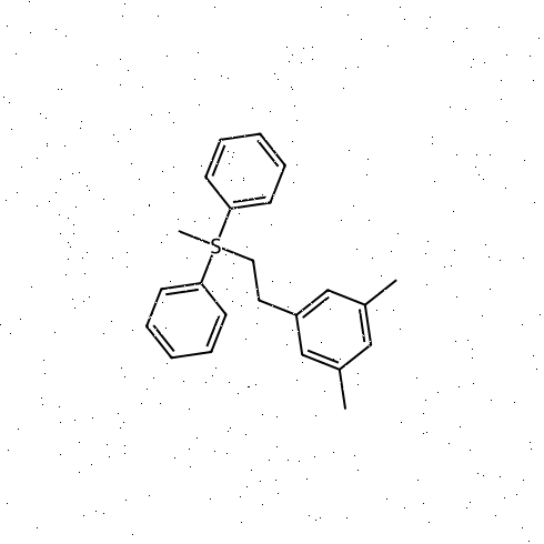 Cc1cc(C)cc(CCS(C)(c2ccccc2)c2ccccc2)c1